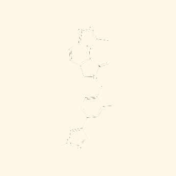 Cc1nnc2ccc3c(n12)C(=O)N(Cc1c(F)cc(-c2cnn(C)c2)cc1F)C3